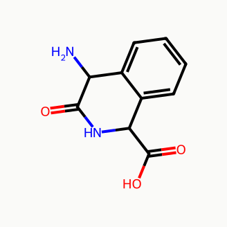 NC1C(=O)NC(C(=O)O)c2ccccc21